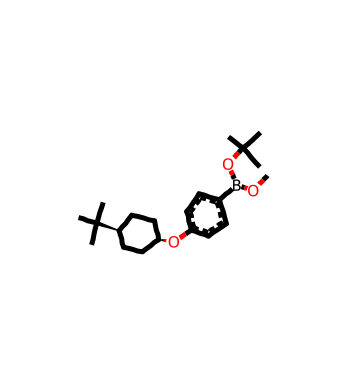 COB(OC(C)(C)C)c1ccc(O[C@H]2CC[C@H](C(C)(C)C)CC2)cc1